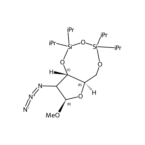 CO[C@@H]1O[C@@H]2CO[Si](C(C)C)(C(C)C)O[Si](C(C)C)(C(C)C)O[C@H]2C1N=[N+]=[N-]